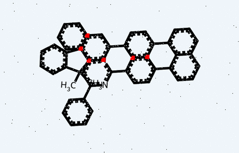 CC1(C)c2ccccc2-c2ccc(-c3ccc(-c4cccc5cccc(-c6ccc(-c7nc(-c8ccccc8)cc(-c8ccccc8)n7)cc6)c45)cc3)cc21